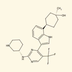 C[C@]1(O)CC[C@@H](c2cccc3c(-c4nc(N[C@H]5CCCNC5)ncc4C(F)(F)F)c[nH]c32)CC1